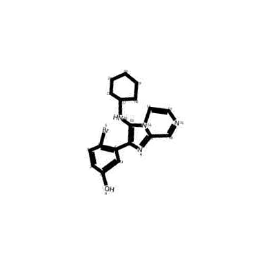 Oc1ccc(Br)c(-c2nc3cnccn3c2NC2CCCCC2)c1